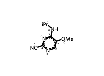 COc1cnc(C#N)nc1NC(C)C